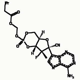 CC(C)CC(=O)OCOP1(=O)OC[C@H]2O[C@@](C#N)(c3cnc4c(N)ncnn34)[C@](C)(F)[C@@H]2O1